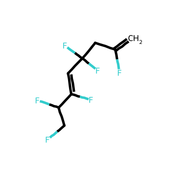 C=C(F)CC(F)(F)C=C(F)C(F)CF